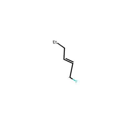 [CH2]CCC=C[CH]F